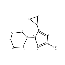 Brc1cc(C2CC2)n(C2CCCCO2)n1